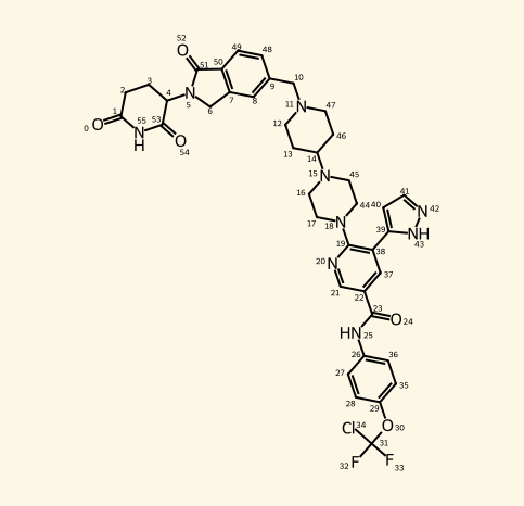 O=C1CCC(N2Cc3cc(CN4CCC(N5CCN(c6ncc(C(=O)Nc7ccc(OC(F)(F)Cl)cc7)cc6-c6ccn[nH]6)CC5)CC4)ccc3C2=O)C(=O)N1